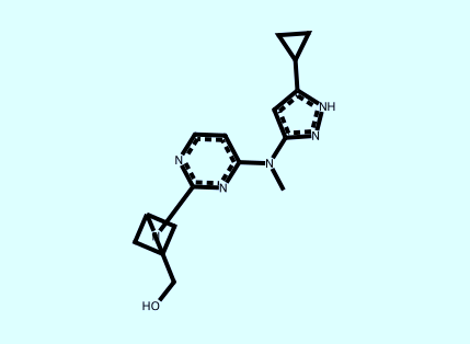 CN(c1cc(C2CC2)[nH]n1)c1ccnc(N2CC3(CO)CC2C3)n1